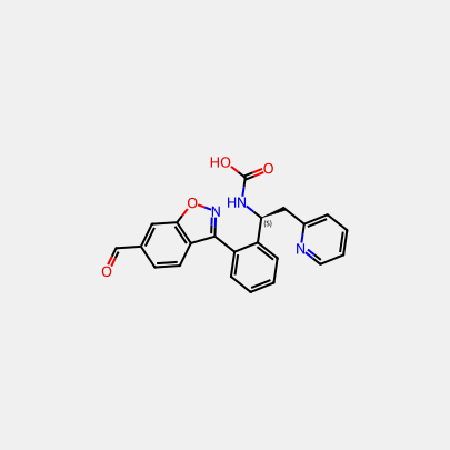 O=Cc1ccc2c(-c3ccccc3[C@H](Cc3ccccn3)NC(=O)O)noc2c1